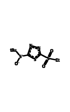 CCS(=O)(=O)c1nnc([S+]([O-])C(C)(C)C)s1